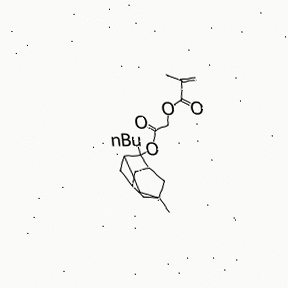 C=C(C)C(=O)OCC(=O)OC1(CCCC)C2CC3CC1CC(C)(C3)C2